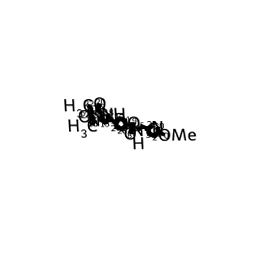 COc1ccc(CNS(=O)(=O)c2ccc(-c3cc4c([nH]3)c(=O)n(C)c(=O)n4C)cc2)cn1